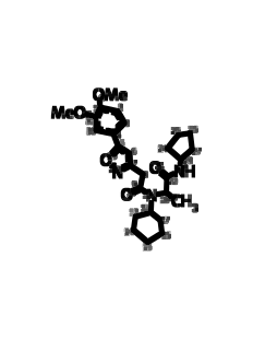 COc1ccc(-c2cc(CC(=O)N(C3CCCCC3)C(C)C(=O)NC3CCCC3)no2)cc1OC